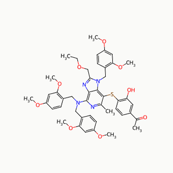 CCOCc1nc2c(N(Cc3ccc(OC)cc3OC)Cc3ccc(OC)cc3OC)nc(C)c(Sc3ccc(C(C)=O)cc3O)c2n1Cc1ccc(OC)cc1OC